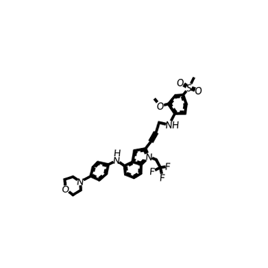 COc1cc(S(C)(=O)=O)ccc1NCC#Cc1cc2c(Nc3ccc(N4CCOCC4)cc3)cccc2n1CC(F)(F)F